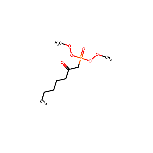 CCCCCC(=O)CP(=O)(OOC)OOC